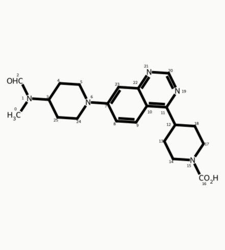 CN(C=O)C1CCN(c2ccc3c(C4CCN(C(=O)O)CC4)ncnc3c2)CC1